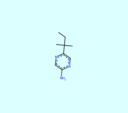 CCC(C)(C)c1cnc(N)cn1